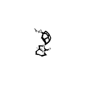 C[C@@]12CCCCN1C(=O)N(C1C3CC4CC1CC(O)(C4)C3)C2